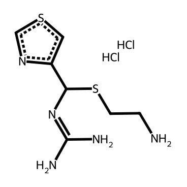 Cl.Cl.NCCSC(N=C(N)N)c1cscn1